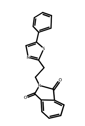 O=C1c2ccccc2C(=O)N1CCc1ncc(-c2ccccc2)s1